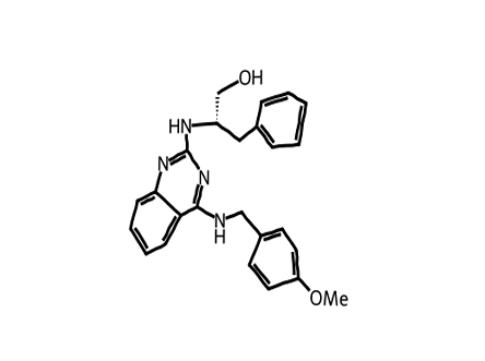 COc1ccc(CNc2nc(N[C@H](CO)Cc3ccccc3)nc3ccccc23)cc1